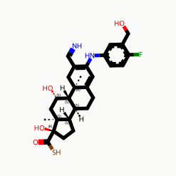 C[C@]12CC(C=N)=C(Nc3ccc(F)c(CO)c3)C=C1CC[C@@H]1[C@@H]2[C@@H](O)C[C@@]2(C)[C@H]1CC[C@]2(O)C(=O)S